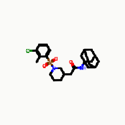 Cc1c(Cl)cccc1S(=O)(=O)N1CCCC(CC(=O)NC23CC4CC(CC(C4)C2)C3)C1